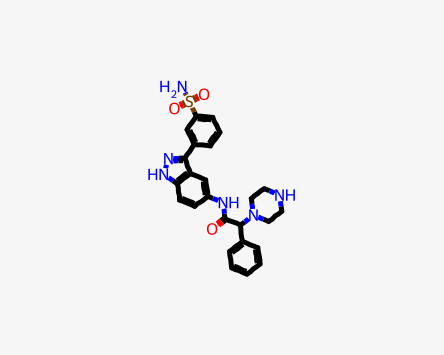 NS(=O)(=O)c1cccc(-c2n[nH]c3ccc(NC(=O)C(c4ccccc4)N4CCNCC4)cc23)c1